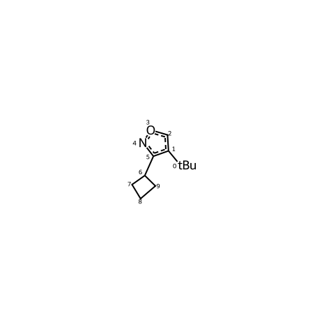 CC(C)(C)c1conc1C1CCC1